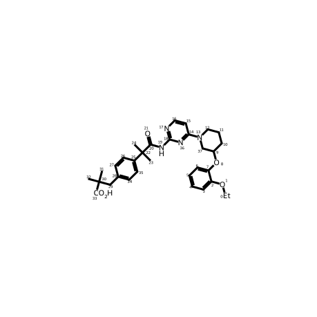 CCOc1ccccc1OC1CCCN(c2ccnc(NC(=O)C(C)(C)c3ccc(CC(C)(C)C(=O)O)cc3)n2)C1